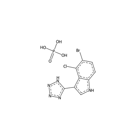 Clc1c(Br)ccc2[nH]cc(-c3nnn[nH]3)c12.O=P(O)(O)O